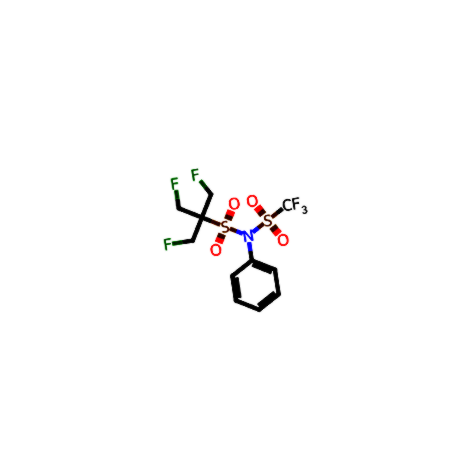 O=S(=O)(N(c1ccccc1)S(=O)(=O)C(CF)(CF)CF)C(F)(F)F